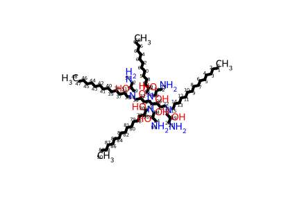 CCCCCCCCCCCCCCCCN(CC(O)CN)CC(O)C(O)C(C(C(O)C(O)CN(CCCCCCCCCCCCCC)CC(O)CN)N(CCCCCCCCCCCCCC)CC(O)CN)N(CCCCCCCCCCCCCCCC)CC(O)CN